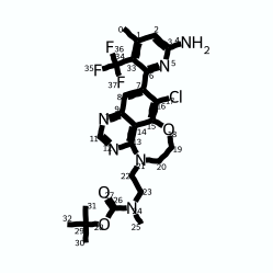 Cc1cc(N)nc(-c2cc3ncnc4c3c(c2Cl)OCCN4CCN(C)C(=O)OC(C)(C)C)c1C(F)(F)F